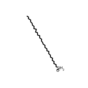 CCCCCCCCCCCCCCCCCCCCCCCCCCCCCCCCC[SiH2][O]